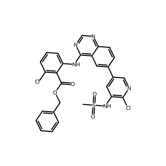 CS(=O)(=O)Nc1cc(-c2ccc3ncnc(Nc4cccc(Cl)c4C(=O)OCc4ccccc4)c3c2)cnc1Cl